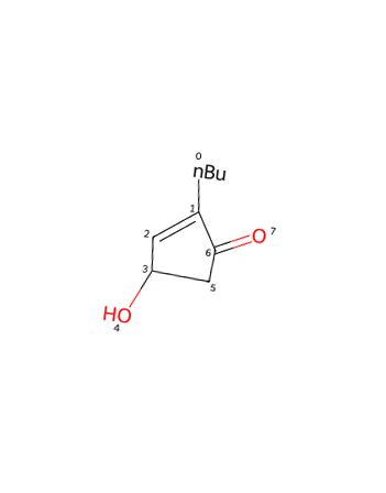 CCCCC1=CC(O)CC1=O